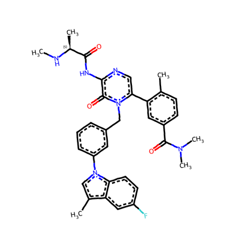 CN[C@@H](C)C(=O)Nc1ncc(-c2cc(C(=O)N(C)C)ccc2C)n(Cc2cccc(-n3cc(C)c4cc(F)ccc43)c2)c1=O